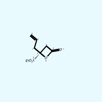 C=CC[C@@]1(C(=O)OCC)CC(=O)O1